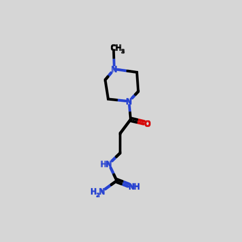 CN1CCN(C(=O)CCNC(=N)N)CC1